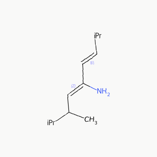 CC(C)/C=C/C(N)=C/C(C)C(C)C